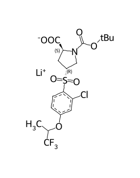 CC(Oc1ccc(S(=O)(=O)[C@@H]2C[C@@H](C(=O)[O-])N(C(=O)OC(C)(C)C)C2)c(Cl)c1)C(F)(F)F.[Li+]